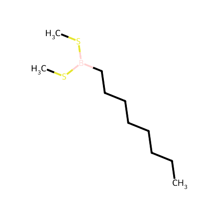 CCCCCCCCB(SC)SC